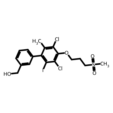 Cc1c(Cl)c(OCCCS(C)(=O)=O)c(Cl)c(I)c1-c1cccc(CO)c1